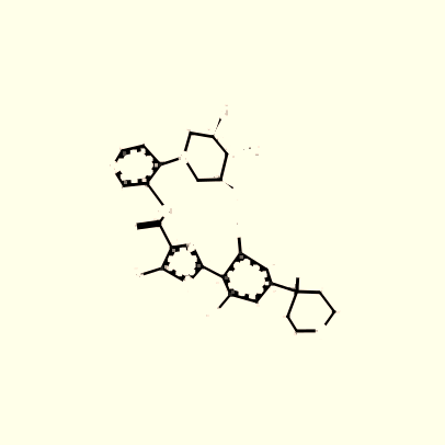 C[C@H]1CN(c2ccncc2NC(=O)c2nc(-c3c(F)cc(C4(F)CCOCC4)cc3F)sc2N)C[C@@H](N)[C@@H]1O